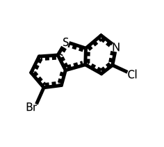 Clc1cc2c(cn1)sc1ccc(Br)cc12